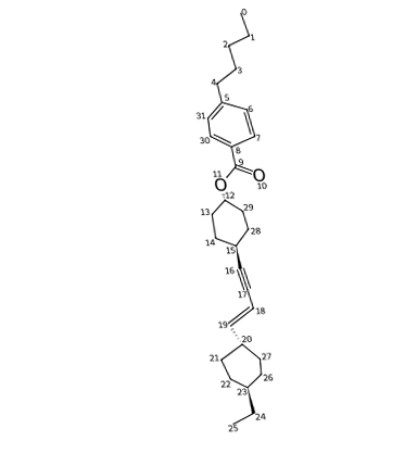 CCCCCc1ccc(C(=O)O[C@H]2CC[C@H](C#CC=C[C@H]3CC[C@H](CC)CC3)CC2)cc1